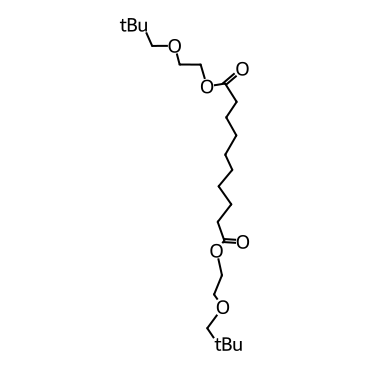 CC(C)(C)COCCOC(=O)CCCCCCCCC(=O)OCCOCC(C)(C)C